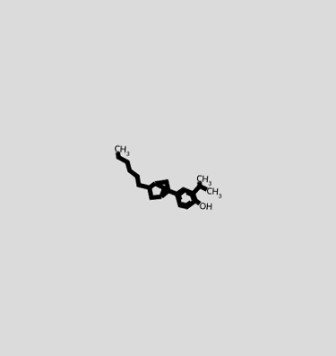 CCCCCCC1CC2CC1CC2c1ccc(O)c(C(C)C)c1